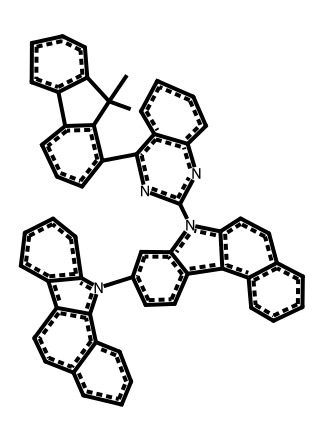 CC1(C)c2ccccc2-c2cccc(-c3nc(-n4c5cc(-n6c7ccccc7c7ccc8ccccc8c76)ccc5c5c6ccccc6ccc54)nc4ccccc34)c21